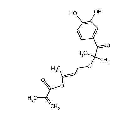 C=C(C)C(=O)O/C(C)=C/COC(C)(C)C(=O)c1ccc(O)c(O)c1